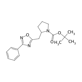 CC(C)(C)OC(=O)N1CCCC1Cc1nc(-c2ccccc2)no1